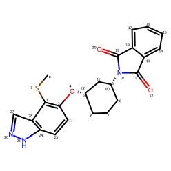 CSc1c(O[C@H]2CCC[C@@H](N3C(=O)c4ccccc4C3=O)C2)ccc2[nH]ncc12